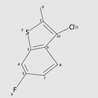 Cc1sc2cc(F)ccc2c1Cl